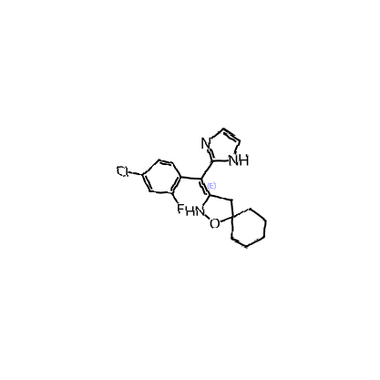 Fc1cc(Cl)ccc1/C(=C1/CC2(CCCCC2)ON1)c1ncc[nH]1